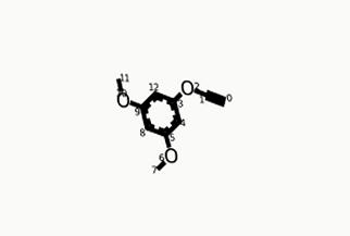 C#COc1cc(OC)cc(OC)c1